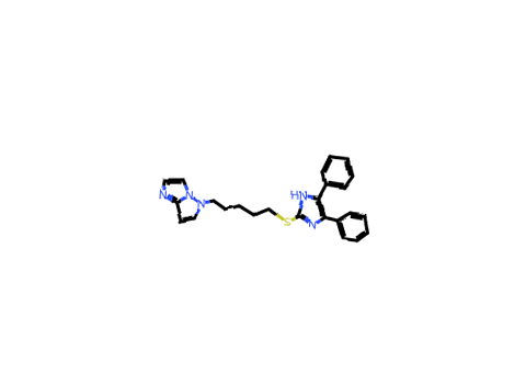 c1ccc(-c2nc(SCCCCCn3ccc4nccn43)[nH]c2-c2ccccc2)cc1